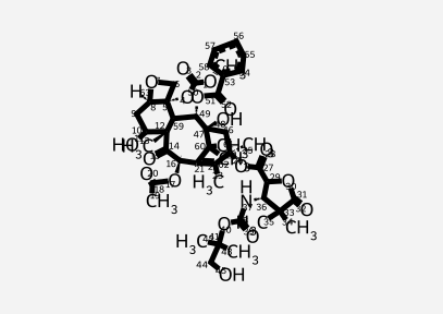 COC(=O)O[C@@]12CO[C@@H]1CC(O)[C@@]1(C)C(=O)[C@H](OC(C)=O)C3=C(C)[C@](C)(OC(=O)C4OC(=O)C(C)(C)[C@@H]4NC(=O)OC(C)(C)CO)C[C@@](O)([C@@H](OC(=O)c4ccccc4)C12)C3(C)C